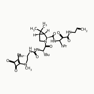 C=CCNC(=O)C(=O)C(CCC)NC(=O)[C@@H]1[C@@H]2[C@H](CN1C(=O)[C@@H](NC(=O)N[C@H](CN(C)c1c(CC)c(=O)c1=O)C(C)(C)C)C(C)(C)C)C2(C)C